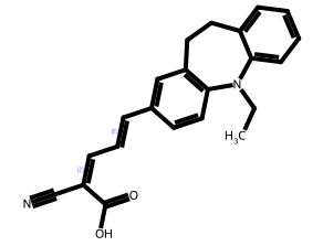 CCN1c2ccccc2CCc2cc(/C=C/C=C(/C#N)C(=O)O)ccc21